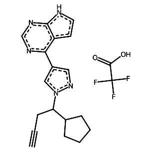 C#CCC(C1CCCC1)n1cc(-c2ncnc3[nH]ccc23)cn1.O=C(O)C(F)(F)F